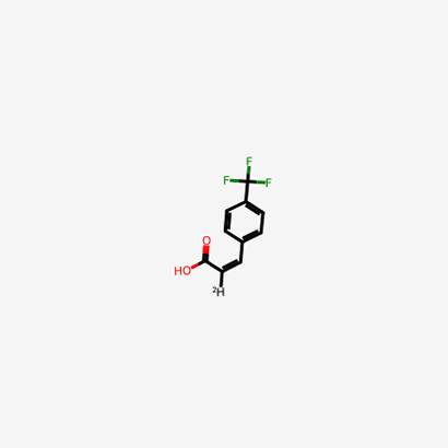 [2H]C(=Cc1ccc(C(F)(F)F)cc1)C(=O)O